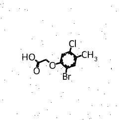 Cc1cc(Br)c(OCC(=O)O)cc1Cl